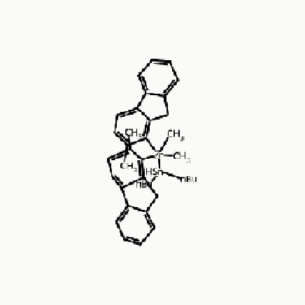 CCC[CH2][SnH]([CH2]CCC)[Zr]([CH3])([CH3])([c]1c(C)ccc2c1Cc1ccccc1-2)[c]1c(C)ccc2c1Cc1ccccc1-2